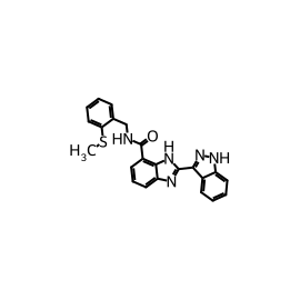 CSc1ccccc1CNC(=O)c1cccc2nc(-c3n[nH]c4ccccc34)[nH]c12